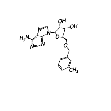 Cc1cccc(COC[C@H]2O[C@@H](n3cnc4c(N)ncnc43)[C@H](O)[C@@H]2O)c1